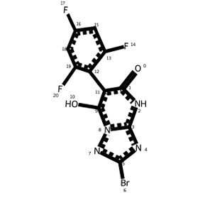 O=c1[nH]c2nc(Br)nn2c(O)c1-c1c(F)cc(F)cc1F